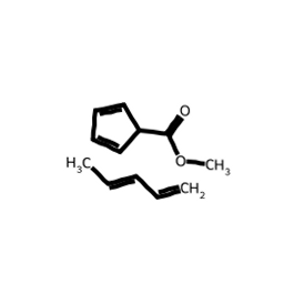 C=CC=CC.COC(=O)C1C=CC=C1